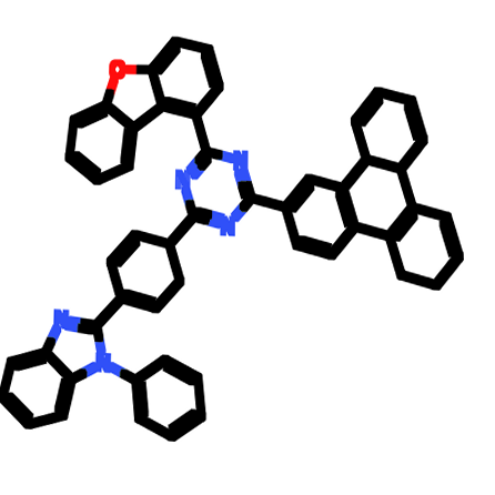 C1=CC2C3=C(CCC=C3)c3ccc(-c4nc(-c5cccc6oc7ccccc7c56)nc(C5C=CC(c6nc7ccccc7n6-c6ccccc6)=CC5)n4)cc3C2C=C1